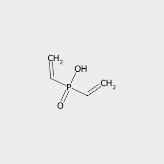 C=CP(=O)(O)C=C